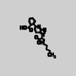 CCCCCCC(C(=O)O)n1cnc2nc(-c3ccccc3C(=O)O)ccc21